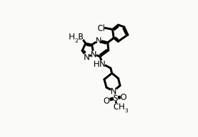 Bc1cnn2c(NCC3CCN(S(C)(=O)=O)CC3)cc(-c3ccccc3Cl)nc12